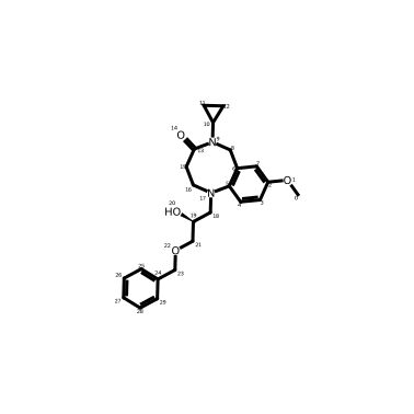 COc1ccc2c(c1)CN(C1CC1)C(=O)CCN2C[C@H](O)COCc1ccccc1